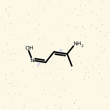 C/C(N)=C\C=N/O